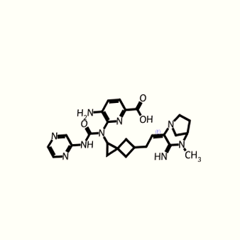 CN1C(=N)/C(=C\CC2CC3(C2)CC3N(C(=O)Nc2cnccn2)c2nc(C(=O)O)ccc2N)N2CCC1C2